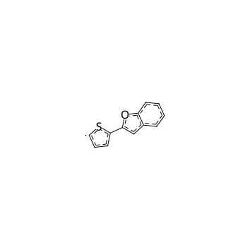 [c]1ccc(-c2cc3ccccc3o2)s1